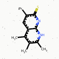 Cc1[nH]c2nc(=S)c(C(C)C)cc-2c(C)c1C